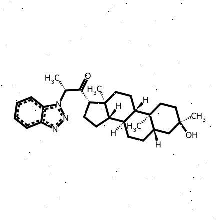 C[C@H](C(=O)[C@H]1CC[C@H]2[C@@H]3CC[C@H]4C[C@](C)(O)CC[C@]4(C)[C@H]3CC[C@]12C)n1nnc2ccccc21